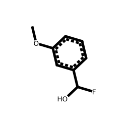 COc1cccc(C(O)F)c1